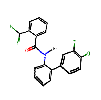 CC(=O)N(C(=O)c1ccccc1C(F)F)c1ccccc1-c1ccc(Cl)c(F)c1